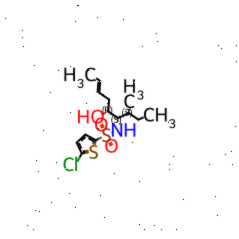 CC=CC[C@@H](O)[C@@H](NS(=O)(=O)c1ccc(Cl)s1)[C@@H](C)CC